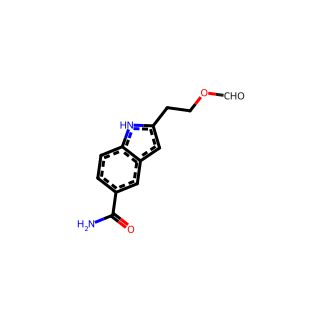 NC(=O)c1ccc2[nH]c(CCOC=O)cc2c1